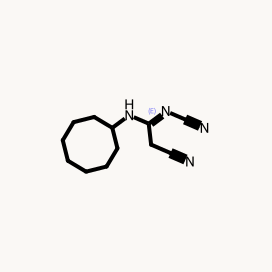 N#CC/C(=N\C#N)NC1CCCCCCC1